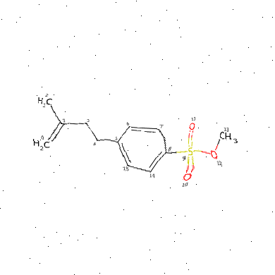 C=C(C)CCc1ccc(S(=O)(=O)OC)cc1